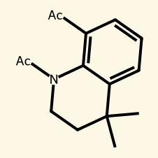 CC(=O)c1cccc2c1N(C(C)=O)CCC2(C)C